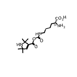 CC1(C)C=C(C(=O)OC(=O)NCCCC[C@H](N)C(=O)O)C(C)(C)N1